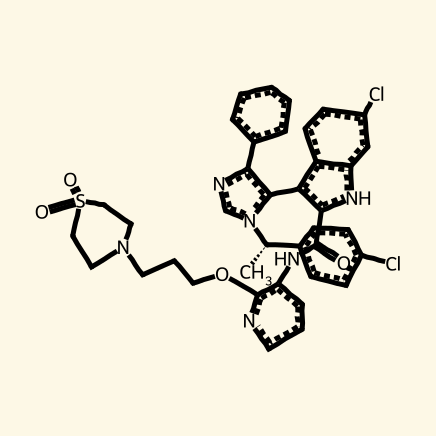 C[C@@H](c1ccc(Cl)cc1)n1cnc(-c2ccccc2)c1-c1c(C(=O)Nc2cccnc2OCCCN2CCS(=O)(=O)CC2)[nH]c2cc(Cl)ccc12